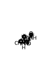 Cc1c(Cl)cccc1Nc1nc(=O)c(CC(=O)NC2CCOCC2)cn1Cc1ccccc1